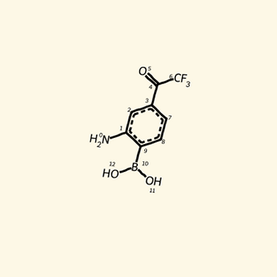 Nc1cc(C(=O)C(F)(F)F)ccc1B(O)O